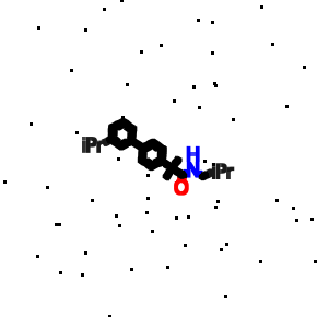 CC(C)CNC(=O)C(C)(C)c1ccc(-c2cccc(C(C)C)c2)cc1